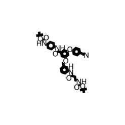 CC(C)(C)OC(=O)NCCC(=O)Nc1cccc(COc2cc(Oc3ccc(C#N)cc3)cc(C(=O)NC3CCC(NC(=O)OC(C)(C)C)CC3)c2)c1